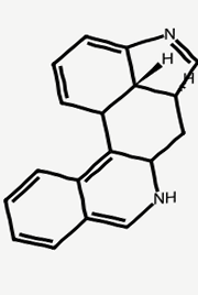 C1=CC2C3=c4ccccc4=CNC3C[C@@H]3C=NC(=C1)[C@@H]23